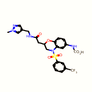 Cn1cc(CNC(=O)CC2CN(S(=O)(=O)c3cccc(C(F)(F)F)c3)c3cc(NC(=O)O)ccc3O2)cn1